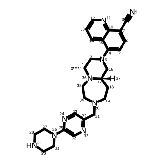 C[C@@H]1CN(c2ccc(C#N)c3ncccc23)C[C@@H]2CCN(Cc3cnc(N4CCNCC4)cn3)CCN21